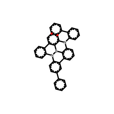 c1ccc(-c2ccc3c(c2)-c2cccc4c2B2c5c(cccc5N4c4ccccc4-c4ccccc4)-c4ccccc4N23)cc1